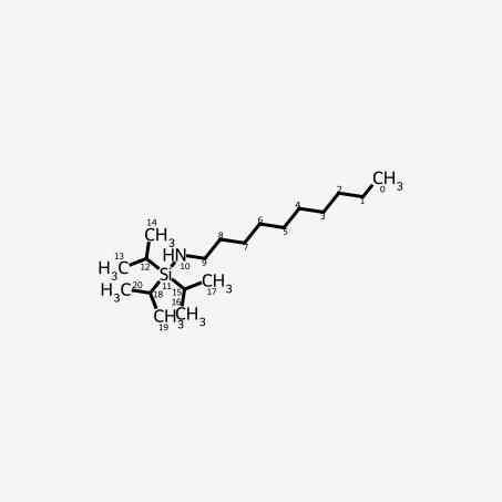 CCCCCCCCCCN[Si](C(C)C)(C(C)C)C(C)C